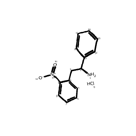 Cl.NC(Cc1ccccc1[N+](=O)[O-])c1ccccc1